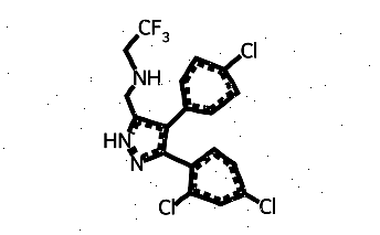 FC(F)(F)CNCc1[nH]nc(-c2ccc(Cl)cc2Cl)c1-c1ccc(Cl)cc1